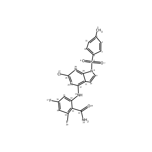 Cc1ccc(S(=O)(=O)n2ccc3c(Nc4cc(F)cc(F)c4C(N)=O)nc(Cl)nc32)cc1